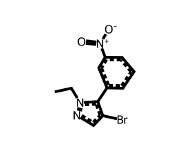 CCn1ncc(Br)c1-c1cccc([N+](=O)[O-])c1